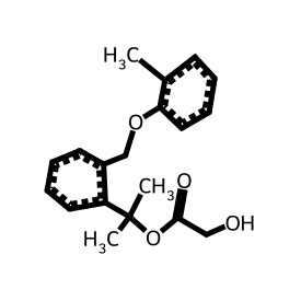 Cc1ccccc1OCc1ccccc1C(C)(C)OC(=O)CO